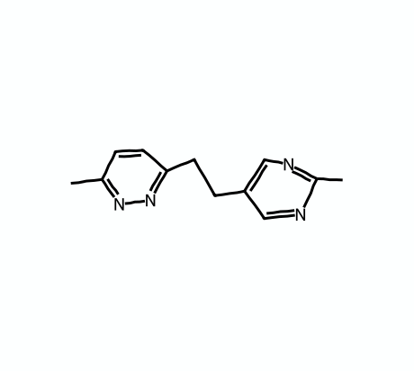 Cc1ccc(CCc2cnc(C)nc2)nn1